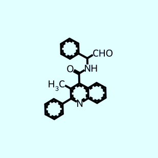 Cc1c(-c2ccccc2)nc2ccccc2c1C(=O)NC(C=O)c1ccccc1